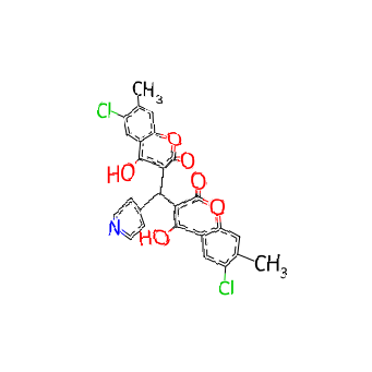 Cc1cc2oc(=O)c(C(c3ccncc3)c3c(O)c4cc(Cl)c(C)cc4oc3=O)c(O)c2cc1Cl